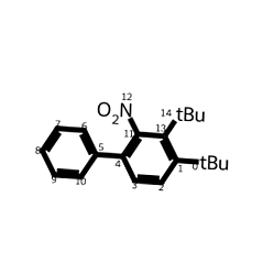 CC(C)(C)c1ccc(-c2ccccc2)c([N+](=O)[O-])c1C(C)(C)C